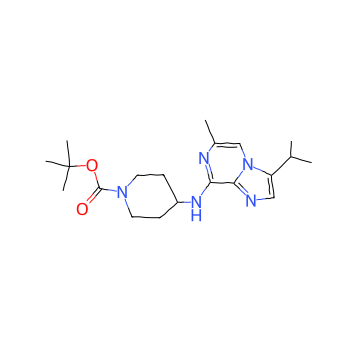 Cc1cn2c(C(C)C)cnc2c(NC2CCN(C(=O)OC(C)(C)C)CC2)n1